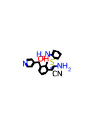 Cc1c(/C(C#N)=C(/N)Sc2ccccc2N)cccc1C(O)c1ccncc1